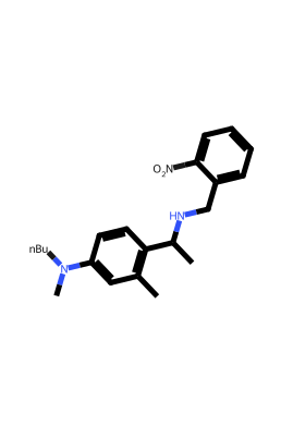 CCCCN(C)c1ccc(C(C)NCc2ccccc2[N+](=O)[O-])c(C)c1